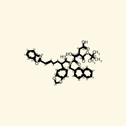 CC(C(CCC=Cc1nc2ccccc2o1)c1ccc2c(c1)OCO2)N(Cc1ccc2ccccc2c1)C(=O)/C(O)=C(/CC(=O)O)C(=O)OC(C)(C)C